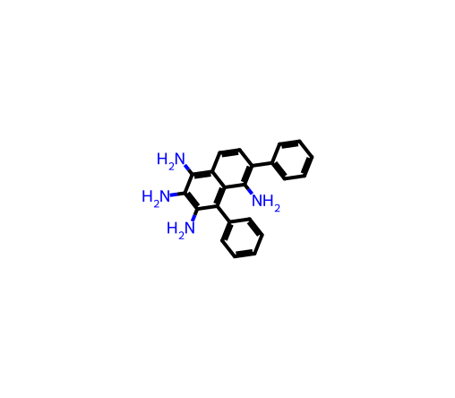 Nc1c(N)c(-c2ccccc2)c2c(N)c(-c3ccccc3)ccc2c1N